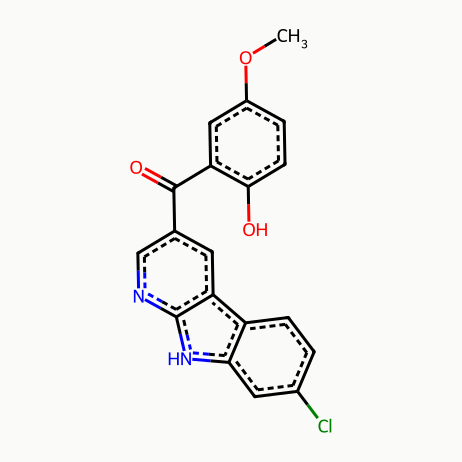 COc1ccc(O)c(C(=O)c2cnc3[nH]c4cc(Cl)ccc4c3c2)c1